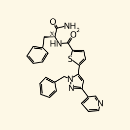 NC(=O)[C@H](Cc1ccccc1)NC(=O)c1ccc(-c2cc(-c3cccnc3)nn2Cc2ccccc2)s1